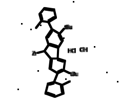 Cc1ccccc1-c1cc2c(cc1C(C)(C)C)-c1cc(C(C)(C)C)c(-c3ccccc3C)cc1[CH]2[Zr].Cl.Cl